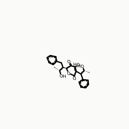 C[C@@H](O)C(C1=C(O)C(=O)[C@H](C(Cc2ccccc2)[C@@H](C)O)OC1=O)c1ccccc1